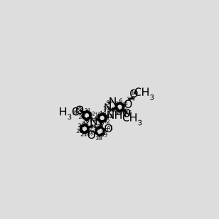 COCCOc1cc2ncnc(Nc3ccc(N(Cc4ccccc4)c4ccc(OC)cc4)c(C4=CC(=O)C=CC4=O)c3)c2cc1OC